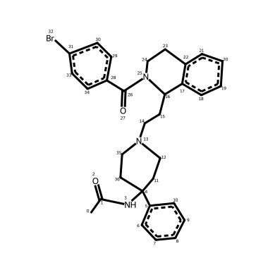 CC(=O)NC1(c2ccccc2)CCN(CCC2c3ccccc3CCN2C(=O)c2ccc(Br)cc2)CC1